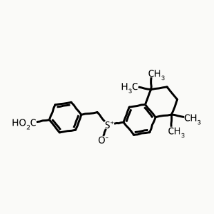 CC1(C)CCC(C)(C)c2cc([S+]([O-])Cc3ccc(C(=O)O)cc3)ccc21